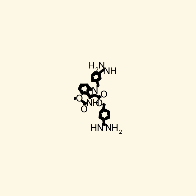 COc1cccc2c1c(NC(C)=O)c(C(=O)OCc1ccc(C(=N)N)cc1)n2Cc1cccc(C(=N)N)c1